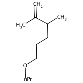 C=C(C)C(C)CCCOCCC